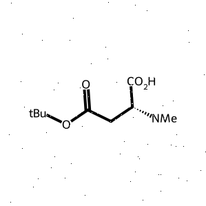 CN[C@H](CC(=O)OC(C)(C)C)C(=O)O